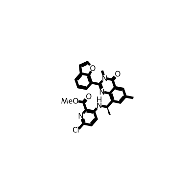 COC(=O)c1nc(Cl)ccc1N[C@H](C)c1cc(C)cc2c(=O)n(C)c(-c3cccc4ccoc34)nc12